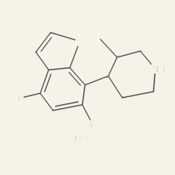 CC1CNCCC1c1c(F)cc(F)c2ccoc12.Cl